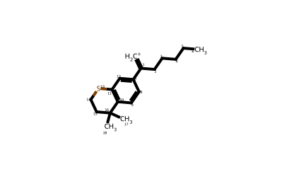 C=C(CCCCC)c1ccc2c(c1)SCCC2(C)C